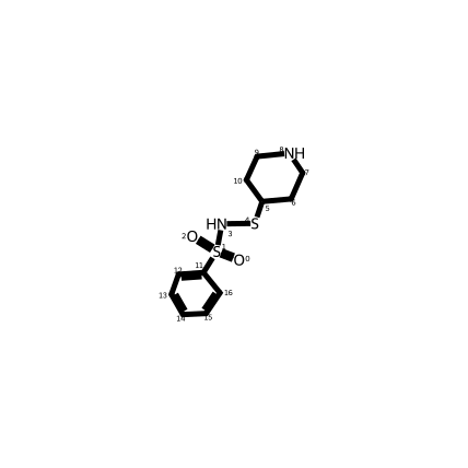 O=S(=O)(NSC1CCNCC1)c1ccccc1